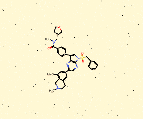 COc1cc(-c2cnc3c(n2)c(-c2ccc(C(=O)N(C)C[C@@H]4CCOC4)cc2)cn3S(=O)(=O)Cc2ccccc2)cc2c1CN(C)CC2